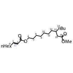 CCCCCC/C=C/C(=O)OCCCCCCCC(CCCC)CC(=O)OC